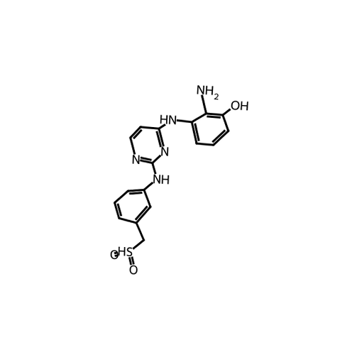 Nc1c(O)cccc1Nc1ccnc(Nc2cccc(C[SH](=O)=O)c2)n1